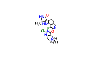 [2H]C([2H])([2H])N1CCc2nc(Cl)nc(Oc3ncc4c(c3F)-c3[nH]c5c(c3CC4)C(=O)NC[C@H]5C)c2C1